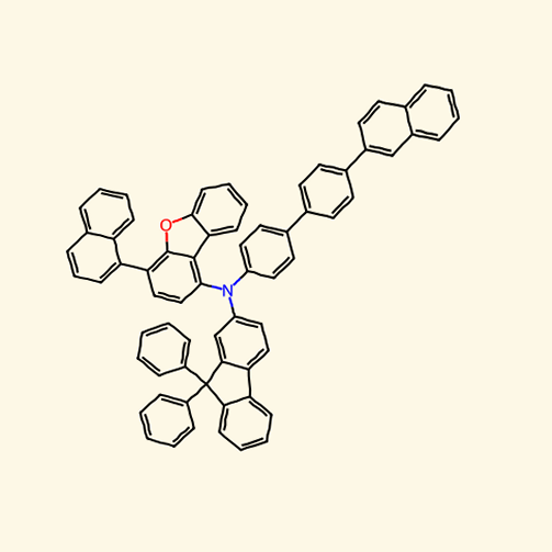 c1ccc(C2(c3ccccc3)c3ccccc3-c3ccc(N(c4ccc(-c5ccc(-c6ccc7ccccc7c6)cc5)cc4)c4ccc(-c5cccc6ccccc56)c5oc6ccccc6c45)cc32)cc1